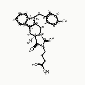 O=C(O)CCCN1C(=O)[C@H]2Cc3c(n(Cc4ccc(F)cc4)c4ccccc34)CN2C1=O